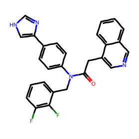 O=C(Cc1cncc2ccccc12)N(Cc1cccc(F)c1F)c1ccc(-c2c[nH]cn2)cc1